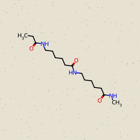 CCC(=O)NCCCCCC(=O)NCCCCCC(=O)NC